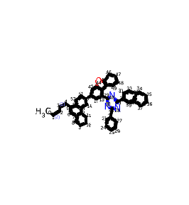 C/C=C\C=C/c1cc2ccccc2c2cc(-c3cc(-c4nc(-c5ccccc5)nc(-c5ccc6ccccc6c5)n4)c4c(c3)oc3ccccc34)ccc12